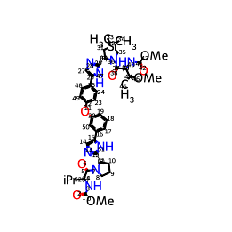 COC(=O)N[C@H](C(=O)N1CCC[C@H]1c1ncc(-c2cccc(Oc3ccc(-c4cnc([C@@H]5C[Si](C)(C)CN5C(=O)[C@@H](NC(=O)OC)C(C)OC)[nH]4)cc3)c2)[nH]1)C(C)C